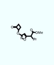 COC(=O)C(c1cc(OC2CCC2=O)no1)C(C)C